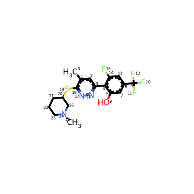 Cc1cc(-c2c(O)cc(C(F)(F)F)cc2F)nnc1S[C@@H]1CCCN(C)C1